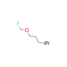 CC(C)CCCOCF